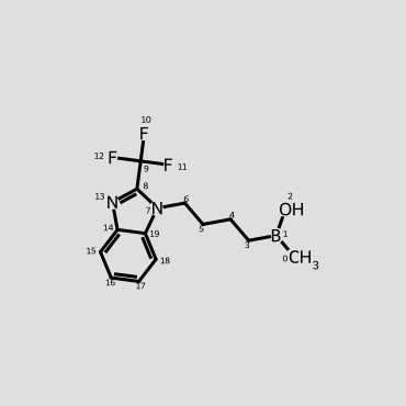 CB(O)CCCCn1c(C(F)(F)F)nc2ccccc21